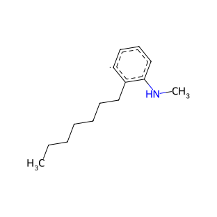 CCCCCCCc1[c]cccc1NC